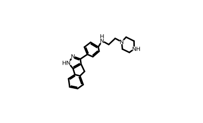 c1ccc2c(c1)Cc1c(-c3ccc(NCCN4CCNCC4)cc3)n[nH]c1-2